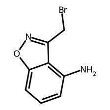 Nc1cccc2onc(CBr)c12